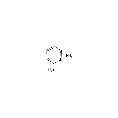 N.S.c1cnccn1